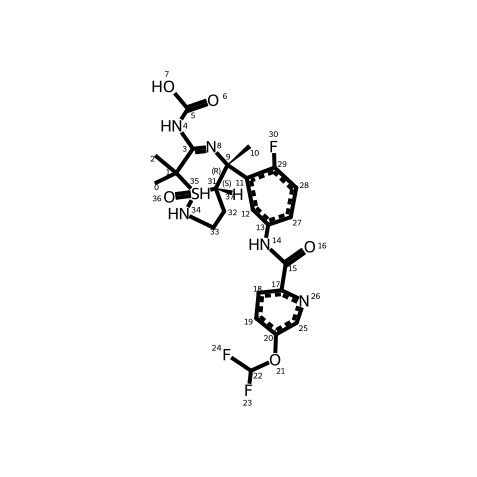 CC1(C)C(NC(=O)O)=N[C@](C)(c2cc(NC(=O)c3ccc(OC(F)F)cn3)ccc2F)[C@@H]2CCN[SH]21=O